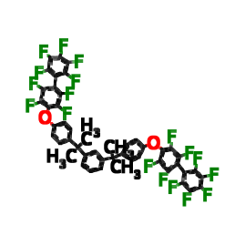 CC(C)(c1ccc(Oc2c(F)c(F)c(-c3c(F)c(F)c(F)c(F)c3F)c(F)c2F)cc1)c1cccc(C(C)(C)c2ccc(Oc3c(F)c(F)c(-c4c(F)c(F)c(F)c(F)c4F)c(F)c3F)cc2)c1